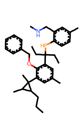 CCCC1C(C)C1(C)c1cc(C)cc(C(CC)(CC)Pc2ccc(C)cc2CNC)c1OCc1ccccc1